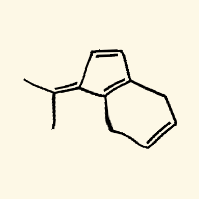 CC(C)=C1C=CC2=C1CC=CC2